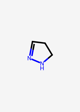 C1=NNCC1